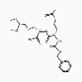 COC(COC[C@H](NC(=O)[C@H](CCSC(C)=O)NC(=O)OCc1ccccc1)C(=O)O)OC